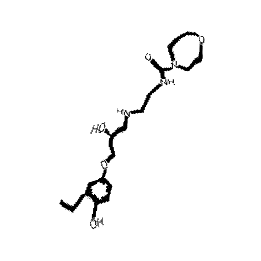 CCc1cc(OC[C@@H](O)CNCCNC(=O)N2CCOCC2)ccc1O